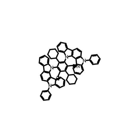 N#Cc1c(C2CCCCC2)c(C#N)c(-n2c3ccccc3c3ccc4c(c5ccccc5n4-c4ccccc4)c32)c(C2CCCCC2)c1-n1c2ccccc2c2ccc3c(c4ccccc4n3-c3ccccc3)c21